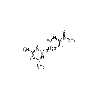 Cc1nc(N)nc(N)n1.NC(=O)c1ccccn1